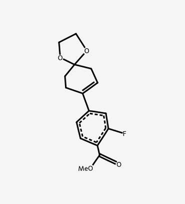 COC(=O)c1ccc(C2=CCC3(CC2)OCCO3)cc1F